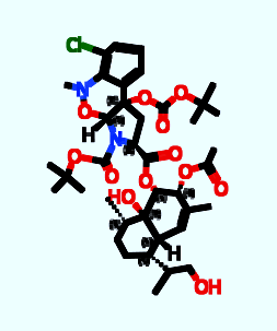 CC(=O)O[C@@H]1C(C)=C[C@@H]2[C@H](C(C)CO)CC[C@H](C)[C@]2(O)[C@H]1OC(=O)[C@@H]1C[C@@]2(OC(=O)OC(C)(C)C)c3cccc(Cl)c3N(C)O[C@H]2N1C(=O)OC(C)(C)C